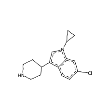 Clc1ccc2c(C3CCNCC3)cn(C3CC3)c2c1